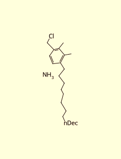 CCCCCCCCCCCCCCCCCCc1ccc(CCl)c(C)c1C.N